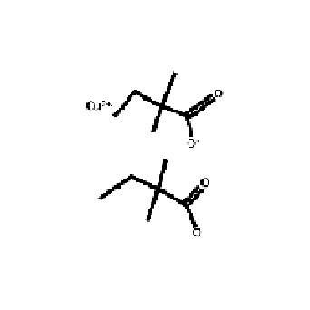 CCC(C)(C)C(=O)[O-].CCC(C)(C)C(=O)[O-].[Cu+2]